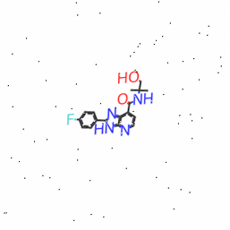 CC(C)(CO)NC(=O)c1ccnc2[nH]c(-c3ccc(F)cc3)nc12